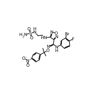 CC(C)(O/N=C(\Nc1ccc(F)c(Br)c1)c1nonc1NCCNS(N)(=O)=O)c1ccc([N+](=O)[O-])cc1